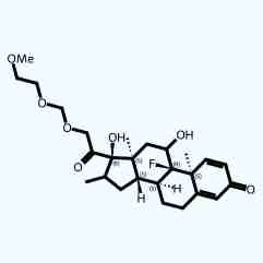 COCCOCOCC(=O)[C@@]1(O)C(C)C[C@H]2[C@@H]3CCC4=CC(=O)C=C[C@]4(C)[C@@]3(F)C(O)C[C@@]21C